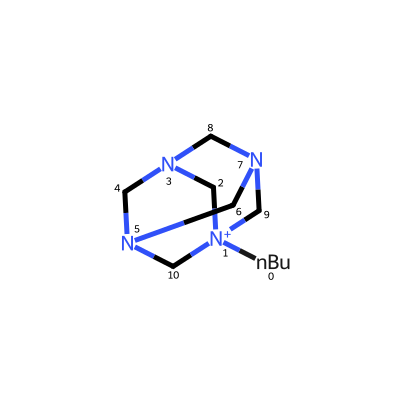 CCCC[N+]12CN3CN(CN(C3)C1)C2